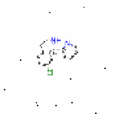 Clc1ccc2c(c1)[C@@H](c1ccccn1)NCC2